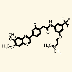 COc1cc2ncc(-c3ccc(CC(=O)Nc4cc(OCCN(C)C)cc(C(F)(F)F)c4)c(F)c3)nc2cc1OC